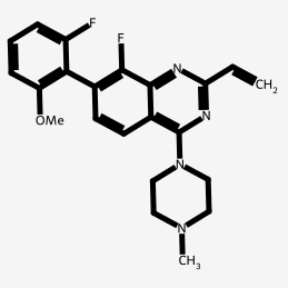 C=Cc1nc(N2CCN(C)CC2)c2ccc(-c3c(F)cccc3OC)c(F)c2n1